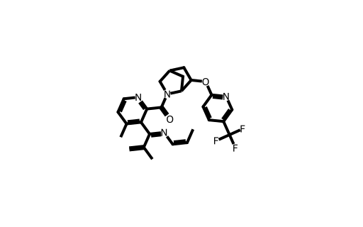 C=C(C)/C(=N\C=C/C)c1c(C)ccnc1C(=O)N1CC2CC(Oc3ccc(C(F)(F)F)cn3)C1C2